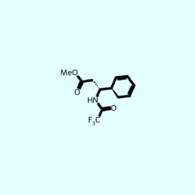 COC(=O)C[C@@H](NC(=O)C(F)(F)F)[C@H]1C=CC=CC1